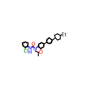 CCC1CCC(c2ccc(-c3ccc4c(c3)OC(C)CN4C(=O)Nc3ccccc3Cl)cc2)CC1